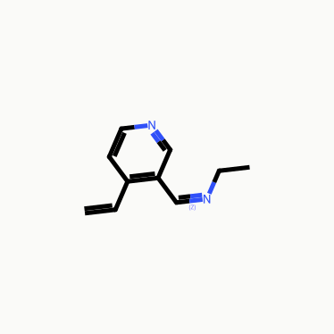 C=Cc1ccncc1/C=N\CC